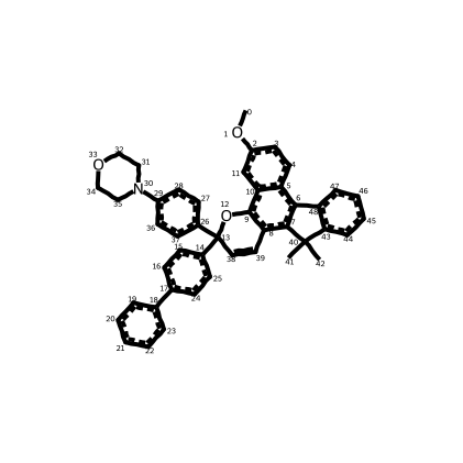 COc1ccc2c3c(c4c(c2c1)OC(c1ccc(-c2ccccc2)cc1)(c1ccc(N2CCOCC2)cc1)C=C4)C(C)(C)c1ccccc1-3